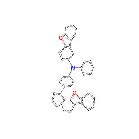 c1ccc(N(c2ccc(-c3cccc4ccc5c6ccccc6oc5c34)cc2)c2ccc3oc4ccccc4c3c2)cc1